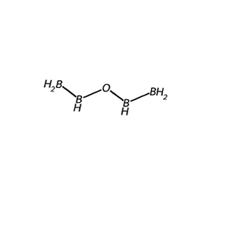 BBOBB